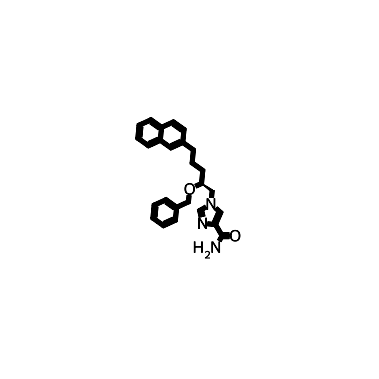 NC(=O)c1cn(C[C@H](CCCc2ccc3ccccc3c2)OCc2ccccc2)cn1